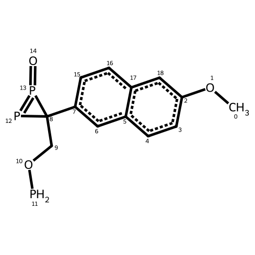 COc1ccc2cc(C3(COP)P=P3=O)ccc2c1